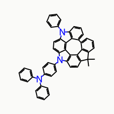 CC1(C)c2cccc3c4cccc5c4c4c6c7c(c1ccc7n(-c1ccc(N(c7ccccc7)c7ccccc7)cc1)c6ccc4n5-c1ccccc1)c23